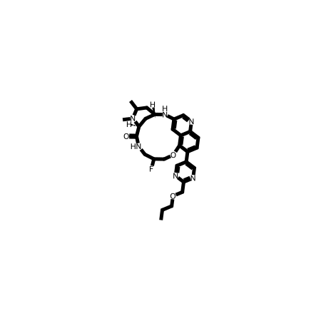 CCCOCc1ncc(-c2ccc3ncc4cc3c2OCC(F)CNC(=O)[C@@H]2C[C@H](CC(C)N2C)N4)cn1